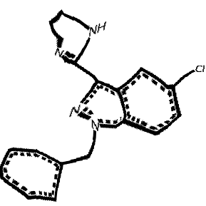 Clc1ccc2c(c1)c(C1=NCCN1)nn2Cc1ccccc1